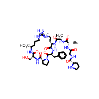 CC[C@H](C)[C@H](NC(=O)CNC(=O)[C@@H]1CCCN1)C(=O)N[C@@H](C)C(=O)N[C@@H](CCC(=O)O)C(=O)N[C@@H](Cc1ccccc1)C(=O)N1CCC[C@H]1C(=O)N[C@@H](CO)C(=O)N[C@@H](CCCNC(=N)N)C(=O)O